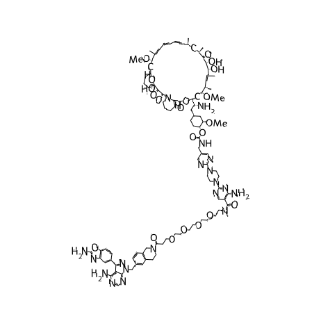 CO[C@H]1C[C@@H]2CC[C@@H](C)[C@@](O)(O2)C(=O)C(=O)N2CCCC[C@H]2C(=O)O[C@H]([C@H](N)C[C@@H]2CC[C@@H](OC(=O)NCc3cnc(N4CCN(c5ncc(C(=O)N(C)CCOCCOCCOCCOCCC(=O)N6CCc7cc(Cn8nc(-c9ccc%10oc(N)nc%10c9)c9c(N)ncnc98)ccc7C6)c(N)n5)CC4)nc3)[C@H](OC)C2)C[C@@H](OC)[C@H](C)/C=C(\C)[C@@H](O)[C@@H](O)C(=O)[C@H](C)C[C@H](C)/C=C/C=C/C=C/1C